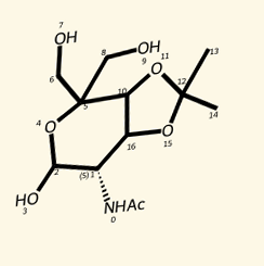 CC(=O)N[C@@H]1C(O)OC(CO)(CO)C2OC(C)(C)OC21